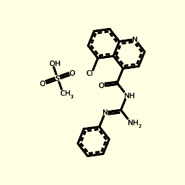 CS(=O)(=O)O.NC(=Nc1ccccc1)NC(=O)c1ccnc2cccc(Cl)c12